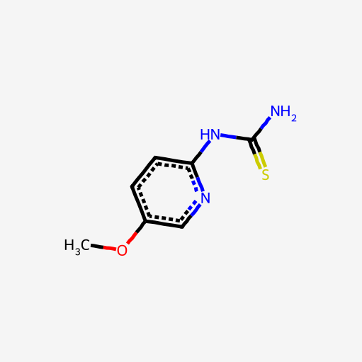 COc1ccc(NC(N)=S)nc1